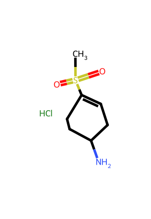 CS(=O)(=O)C1=CCC(N)CC1.Cl